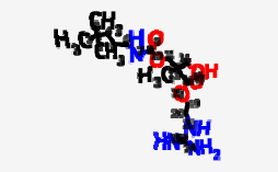 CC(C)(C)CCCNC(=O)OCC(C)(CO)C(=O)OCCNC(=N)N